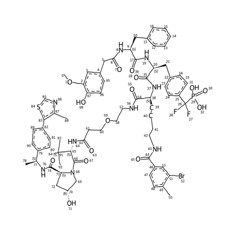 COc1cc(CC(=O)N[C@@H](Cc2ccccc2)C(=O)N[C@@H](Cc2ccc(C(F)(F)P(=O)(O)O)cc2)C(=O)N[C@@H](CCCCNC(=O)c2ccc(C)c(Br)c2)C(=O)NCCOCCC(=O)N[C@H](C(=O)N2C[C@H](O)C[C@H]2C(=O)N[C@@H](C)c2ccc(-c3scnc3C)cc2)C(C)(C)C)ccc1O